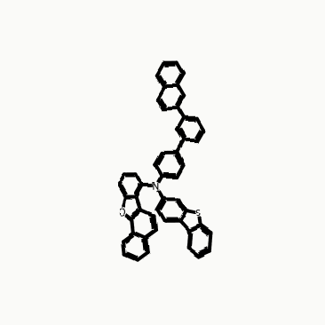 c1cc(-c2ccc(N(c3ccc4c(c3)sc3ccccc34)c3cccc4oc5c6ccccc6ccc5c34)cc2)cc(-c2ccc3ccccc3c2)c1